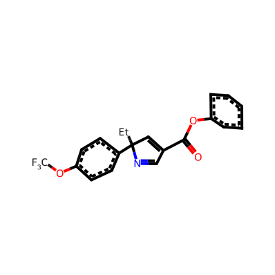 CCC1(c2ccc(OC(F)(F)F)cc2)C=C(C(=O)Oc2ccccc2)C=N1